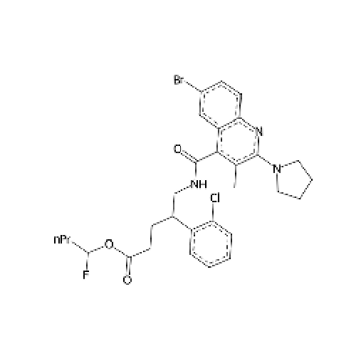 CCCC(F)OC(=O)CCC(CNC(=O)c1c(C)c(N2CCCC2)nc2ccc(Br)cc12)c1ccccc1Cl